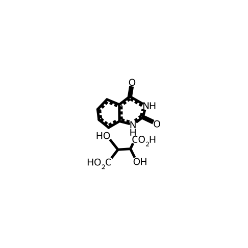 O=C(O)C(O)C(O)C(=O)O.O=c1[nH]c(=O)c2ccccc2[nH]1